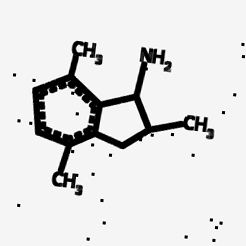 Cc1ccc(C)c2c1CC(C)C2N